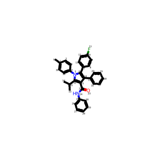 Cc1ccc(-n2c(-c3ccc(F)cc3)c(-c3ccccc3)c(C(=O)Nc3ccccc3)c2C(C)C)cc1